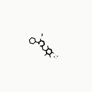 Cc1cc(OS(=O)(=O)C(F)(F)F)c(C)c(C)c1Cc1ccc(OCO)c(C2CCCCC2)n1